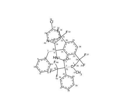 CO[C@](C(=O)N[C@@](Cc1ccccc1)(c1ccc(Cl)cn1)c1cc(C(F)(F)F)ccc1C(F)(F)F)(c1ccccc1)C(F)(F)F